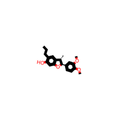 CCCc1cc2c(cc1O)O[C@H](c1ccc(OC)c(OC)c1)[C@H]2C